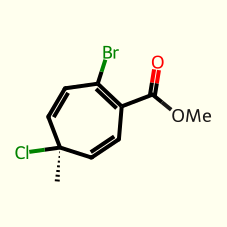 COC(=O)C1=C(Br)C=C[C@](C)(Cl)C=C1